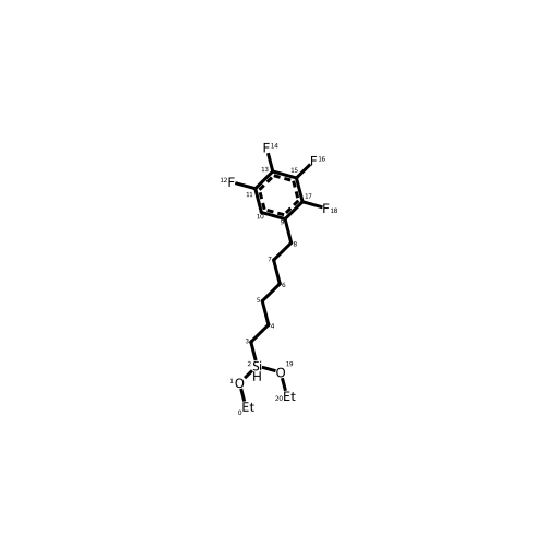 CCO[SiH](CCCCCCc1cc(F)c(F)c(F)c1F)OCC